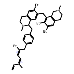 C=C/C(C)=C\C=C(\CC)Cc1ccc(CC2c3cc(Cc4c(CC)c(CC)cc5c4CN(C)CC5)c(CC)cc3CCN2C)cc1